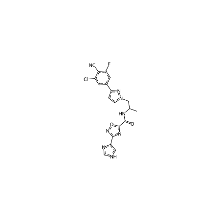 CC(Cn1ccc(-c2cc(F)c(C#N)c(Cl)c2)n1)NC(=O)c1nc(-c2c[nH]cn2)no1